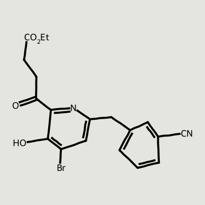 CCOC(=O)CCC(=O)c1nc(Cc2cccc(C#N)c2)cc(Br)c1O